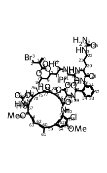 C=C(CBr)C(=O)OC(C)CCCC(C=O)N[C@H](C(=O)N[C@@H](CCCNC(N)=O)C(=O)Nc1ccccc1C(=O)N(C)[C@@H](C)C(=O)O[C@H]1CC(=O)N(C)c2cc(cc(OC)c2Cl)C/C(C)=C/C=C/[C@@H](OC)[C@@]2(O)C[C@H](OC(=O)N2)[C@@H](C)[C@@H]2O[C@@]12C)C(C)C